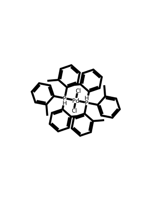 Cc1ccccc1[PH](c1ccccc1C)(c1ccccc1C)[Pd]([Cl])([Cl])[PH](c1ccccc1C)(c1ccccc1C)c1ccccc1C